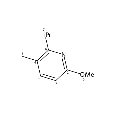 COc1ccc(C)c(C(C)C)n1